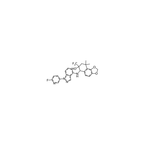 CC1(C)CC(O)(C(F)(F)F)C(Nc2cccc3c2cnn3-c2ccc(F)nc2)c2ccc3c(c21)OCO3